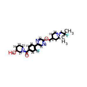 CC(C)(F)CN1CCC(COc2cnc(-c3ccc(C(=O)N4CCCC(O)C4)cc3F)cn2)CC1